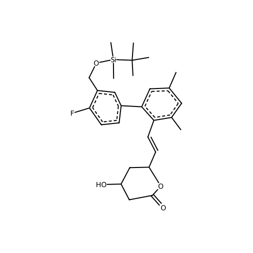 Cc1cc(C)c(/C=C/C2CC(O)CC(=O)O2)c(-c2ccc(F)c(CO[Si](C)(C)C(C)(C)C)c2)c1